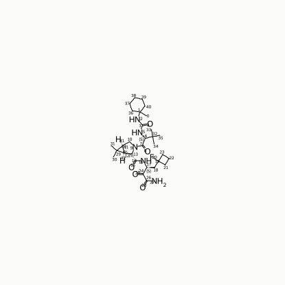 CC1(NC(=O)N[C@H](C(=O)N2C[C@H]3[C@@H]([C@H]2C(=O)N[C@@H](CC2(F)CCC2)C(=O)C(N)=O)C3(C)C)C(C)(C)C)CCCCC1